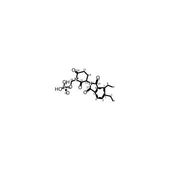 CCc1ccc2c(c1CC)C(=O)N(C1CCC(=O)N(COP(=O)(O)O)C1=O)C2=O